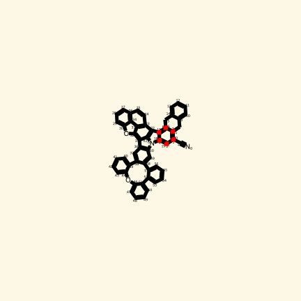 N#Cc1cc2c(c3c1C1c4ccccc4C3c3ccccc31)c1c3ccc4cccc5oc(c3c45)c3c4cc5c6ccccc6oc6ccccc6c6ccccc6c5cc4n2c31